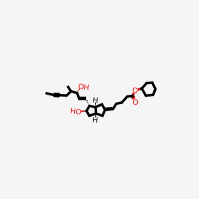 CC#CCC(C)[C@H](O)/C=C/[C@@H]1[C@H]2C/C(=C\CCCC(=O)OC3CCCCC3)C[C@H]2C[C@H]1O